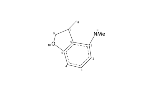 CNc1cccc2c1C(C)CO2